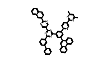 Cc1cc(C)nc(-c2ccc(-c3cc(-c4nc(-c5cnc(-c6ccc7ccccc7c6)nc5)nc(-c5cccc(-c6ccccc6)c5)n4)cc(-c4cc5ccccc5c5ccccc45)c3)nc2)n1